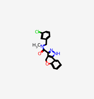 CN(Cc1cccc(Cl)c1)C(=O)c1n[nH]c2c1COc1ccccc1-2